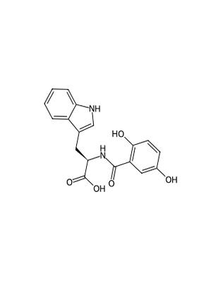 O=C(N[C@H](Cc1c[nH]c2ccccc12)C(=O)O)c1cc(O)ccc1O